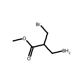 BCC(CBr)C(=O)OC